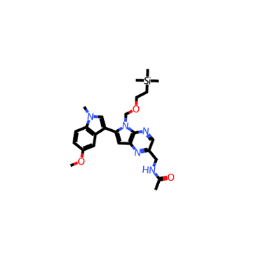 COc1ccc2c(c1)c(-c1cc3nc(CNC(C)=O)cnc3n1COCC[Si](C)(C)C)cn2C